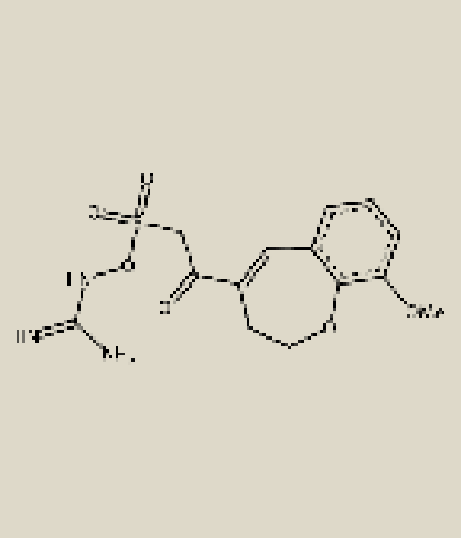 COc1cccc2c1OCCC(C(=O)CS(=O)(=O)ONC(=N)N)=C2